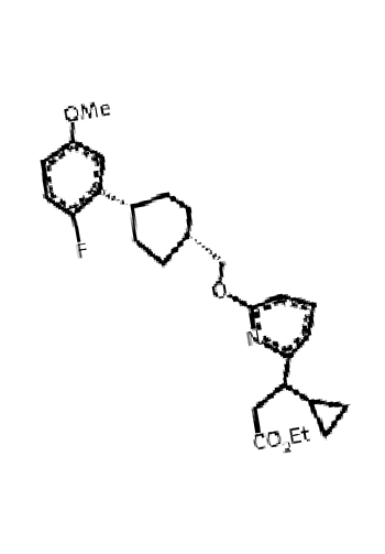 CCOC(=O)CC(c1cccc(OC[C@H]2CC[C@@H](c3cc(OC)ccc3F)CC2)n1)C1CC1